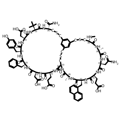 CN[C@H]1CSCc2cc3cc(c2)CSC[C@@H](NC(=O)[C@@H](C)NC(=O)[C@H](Cc2cccc4ccccc24)NC(=O)[C@H](CCC(=O)O)NC(=O)[C@H](CC(N)=O)NC(=O)[C@@H](C)NC1=O)C(=O)N[C@@H](CCC(=O)O)C(=O)N[C@@H](CC(=O)O)C(=O)N[C@@H](Cc1ccccc1)C(=O)N[C@@H](Cc1ccc(O)cc1)C(=O)N[C@@H](CC(=O)O)C(=O)N[C@@H](C(C)(C)C)C(=O)N[C@H](C(N)=O)CSC3